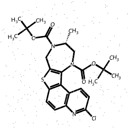 C[C@@H]1CN(C(=O)OC(C)(C)C)c2c(sc3ccc4nc(Cl)ccc4c23)CN1C(=O)OC(C)(C)C